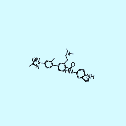 Cc1nc(-c2ccc(-c3ccc(C(=O)Nc4ccc5[nH]ccc5c4)c(CCN(C)C)c3)c(C)c2)no1